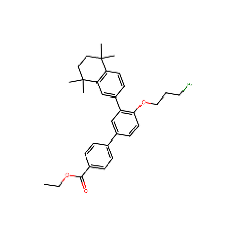 CCOC(=O)c1ccc(-c2ccc(OCCCBr)c(-c3ccc4c(c3)C(C)(C)CCC4(C)C)c2)cc1